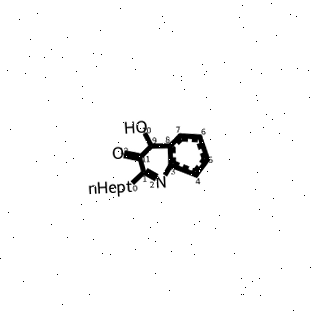 CCCCCCCC1=Nc2ccccc2C(O)C1=O